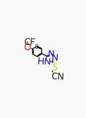 N#CCSc1nnc(-c2ccc(OC(F)(F)F)cc2)[nH]1